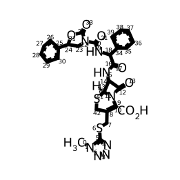 Cn1nnnc1SCC1=C(C(=O)O)N2C(=O)C(NC(=O)C(NC(=O)N3CC(c4ccccc4)OC3=O)c3ccccc3)[C@@H]2SC1